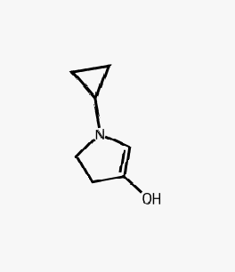 OC1=CN(C2CC2)CC1